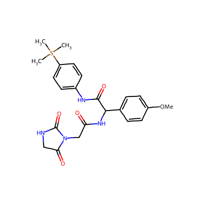 COc1ccc(C(NC(=O)CN2C(=O)CNC2=O)C(=O)Nc2ccc(S(C)(C)C)cc2)cc1